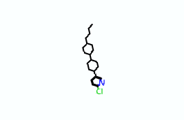 CCCCC1CCC(C2CCC(c3ccc(Cl)nc3)CC2)CC1